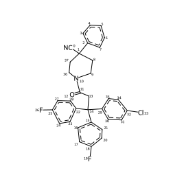 N#CC1(c2ccccc2)CCN(C(=O)CC(c2ccc(F)cc2)(c2ccc(F)cc2)c2ccc(Cl)cc2)CC1